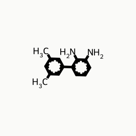 Cc1cc(C)cc(-c2cccc(N)c2N)c1